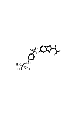 CCC(=O)Nc1nc2ccc(OS(=O)(=O)c3ccc(NCC(C)(C)O)cc3)cc2s1